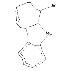 BrC1CC=CC2c3ccccc3NC12